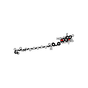 C[C@]12C=CC(=O)C=C1[C@@H](F)C[C@H]1[C@@H]3C[C@H]4O[C@@H](c5ccc(Cc6cccc(NC(=O)CCOCCOCCOCCOCCOCCOCCNC(=O)CCN7C(=O)C=CC7=O)c6)cc5)O[C@@]4(C(=O)CO)[C@@]3(C)C[C@H](O)[C@@]12F